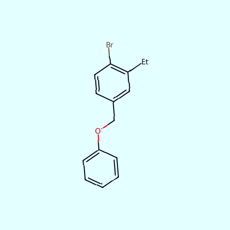 CCc1cc(COc2ccccc2)ccc1Br